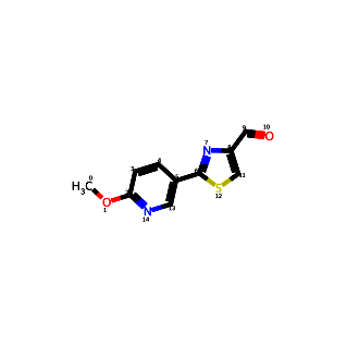 COc1ccc(-c2nc(C=O)cs2)cn1